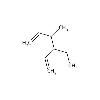 C=CC(C)C(C=C)CC